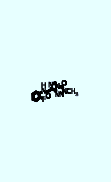 Cn1nnc2c(C(=O)Nc3ccccc3F)ncn2c1=O